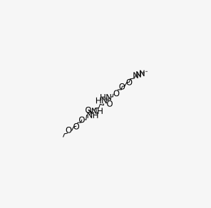 CCCOCCOCCOCCNC(=O)NCCCCNC(=O)NCCOCCOCCOCCN=[N+]=[N-]